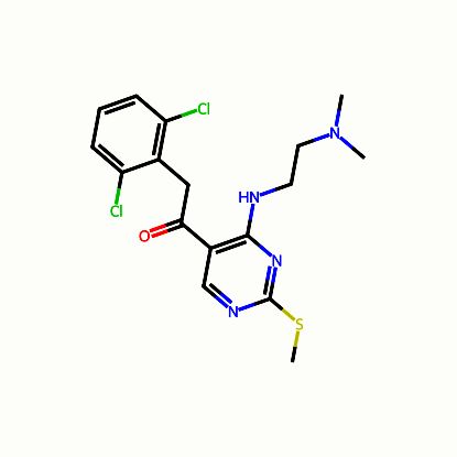 CSc1ncc(C(=O)Cc2c(Cl)cccc2Cl)c(NCCN(C)C)n1